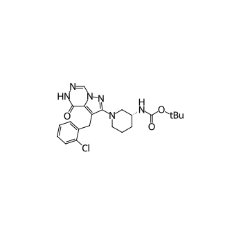 CC(C)(C)OC(=O)N[C@@H]1CCCN(c2nn3cn[nH]c(=O)c3c2Cc2ccccc2Cl)C1